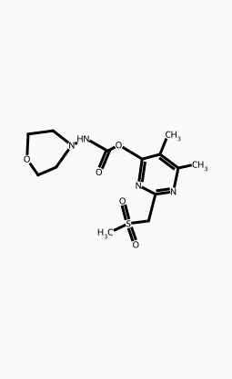 Cc1nc(CS(C)(=O)=O)nc(OC(=O)NN2CCOCC2)c1C